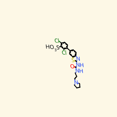 O=C(NCCCN1CCCC1)Nc1nc2ccc(-c3ccc(Cl)c(S(=O)(=O)O)c3Cl)cc2s1